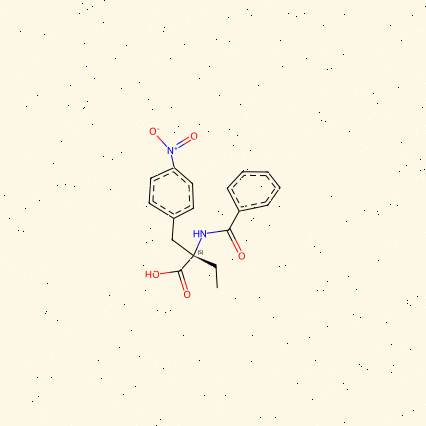 CC[C@@](Cc1ccc([N+](=O)[O-])cc1)(NC(=O)c1ccccc1)C(=O)O